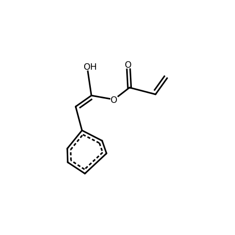 C=CC(=O)OC(O)=Cc1ccccc1